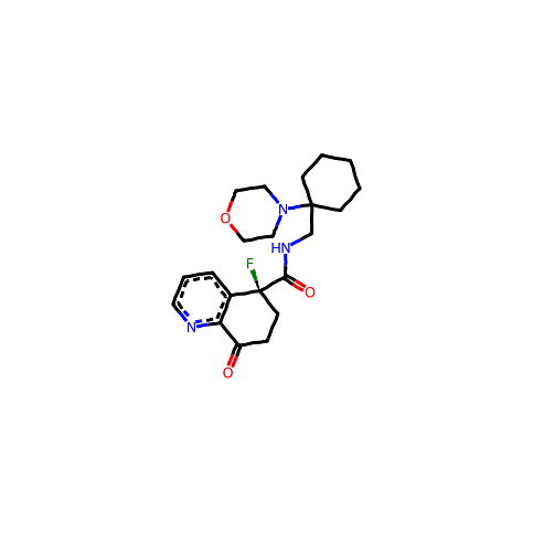 O=C1CC[C@@](F)(C(=O)NCC2(N3CCOCC3)CCCCC2)c2cccnc21